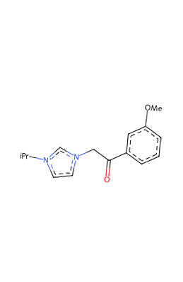 COc1cccc(C(=O)Cn2cc[n+](C(C)C)c2)c1